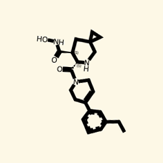 CCc1cccc(C2=CCN(C(=O)[C@H]3NCC4(CC4)C[C@@H]3C(=O)NO)CC2)c1